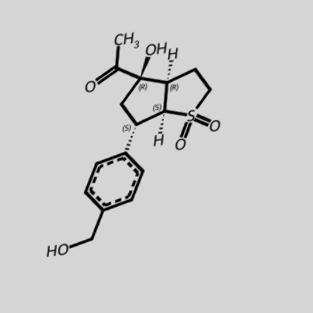 CC(=O)[C@@]1(O)C[C@@H](c2ccc(CO)cc2)[C@H]2[C@@H]1CCS2(=O)=O